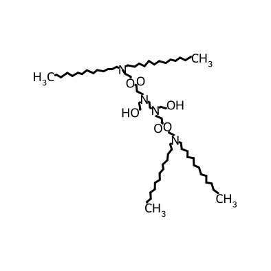 CCCCCCCCCCCCCCN(CCCCCCCCCCCCCC)CCOC(=O)CCN(CCO)CCN(CCO)CCC(=O)OCCN(CCCCCCCCCCCCCC)CCCCCCCCCCCCCC